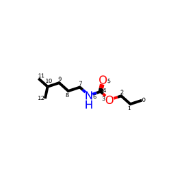 CCCOC(=O)NCCCC(C)C